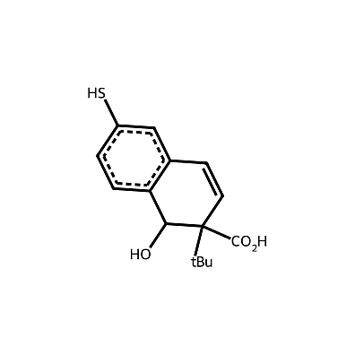 CC(C)(C)C1(C(=O)O)C=Cc2cc(S)ccc2C1O